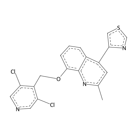 Cc1cc(-c2cscn2)c2cccc(OCc3c(Cl)cncc3Cl)c2n1